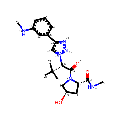 CNC(=O)[C@@H]1C[C@@H](O)CN1C(=O)[C@@H](n1cc(-c2cccc(NC)c2)nn1)C(C)(C)C